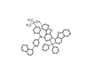 CC(C)(C)c1ccc(N(c2ccc(-c3cccc4ccccc34)cc2)c2cc3c(c4sc5ccccc5c24)-c2c(ccc4c2sc2ccccc24)C3(c2ccccc2)c2ccccc2)cc1